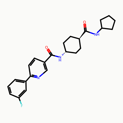 O=C(N[C@H]1CC[C@H](C(=O)NC2CCCC2)CC1)c1ccc(-c2cccc(F)c2)nc1